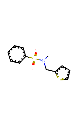 CCCN(Cc1cccs1)S(=O)(=O)c1ccccc1